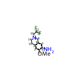 COc1cc2c(cc1N)CN(CC(F)F)CC2